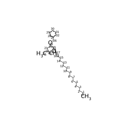 CCCCCCCCCCCCCCCCCCOC[C@@H](CC(C)C)OCc1ccccc1